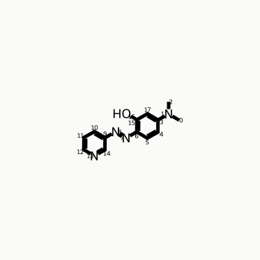 CN(C)c1ccc(/N=N/c2cccnc2)c(O)c1